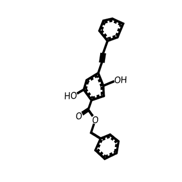 O=C(OCc1ccccc1)c1cc(O)c(C#Cc2ccccc2)cc1O